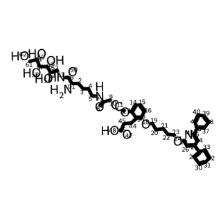 NC(CCCCNC(=O)CCCOc1cccc(OCCCCCOc2cc(-c3ccccc3)cc(-c3ccccc3)n2)c1CCC(=O)O)C(=O)NCC(O)C(O)C(O)C(O)CO